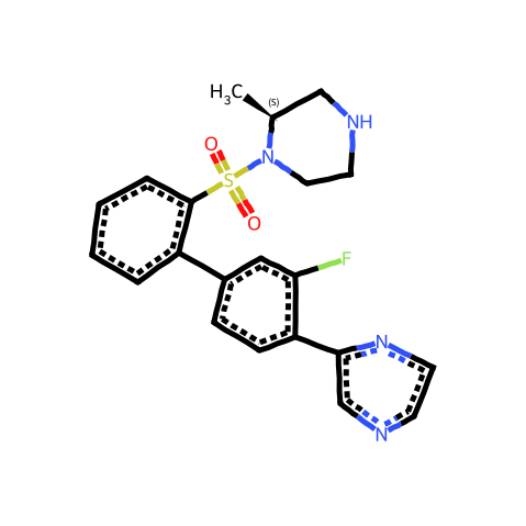 C[C@H]1CNCCN1S(=O)(=O)c1ccccc1-c1ccc(-c2cnccn2)c(F)c1